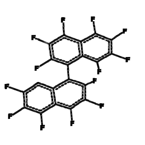 Fc1cc2c(-c3c(F)c(F)c(F)c4c(F)c(F)c(F)c(F)c34)c(F)c(F)c(F)c2c(F)c1F